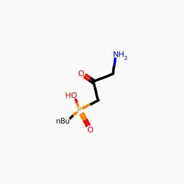 CCCCP(=O)(O)CC(=O)CN